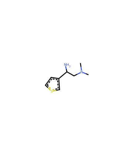 CN(C)CC(N)c1ccsc1